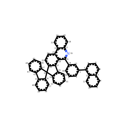 c1cc(-c2cccc3ccccc23)cc(-c2nc3ccccc3c3ccc4c(c23)-c2ccccc2C42c3ccccc3-c3ccccc32)c1